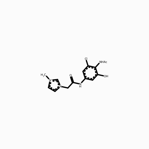 CC(=O)Nc1c(O)cc(NC(=O)Cn2cc[n+](C)c2)cc1Cl